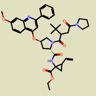 C=CC1CC1(NC(=O)[C@@H]1C[C@@H](Oc2cc(-c3ccccc3)nc3cc(OC)ccc23)CN1C(=O)C(CC(=O)N1CCCC1)C(C)(C)C)C(=O)OCC